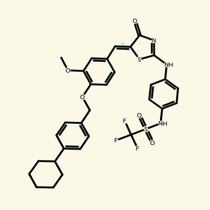 COc1cc(/C=C2\SC(Nc3ccc(NS(=O)(=O)C(F)(F)F)cc3)=NC2=O)ccc1OCc1ccc(C2CCCCC2)cc1